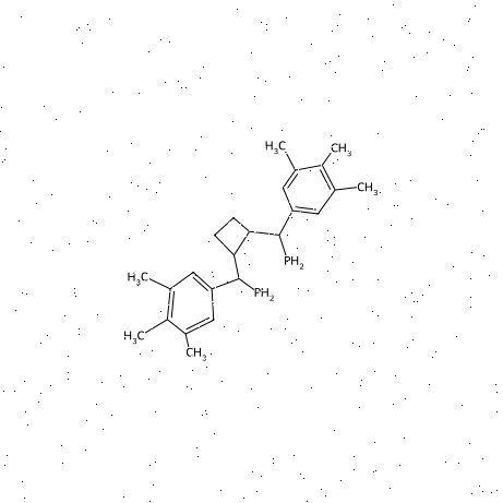 Cc1cc(C(P)C2CCC2C(P)c2cc(C)c(C)c(C)c2)cc(C)c1C